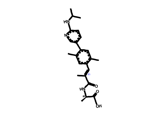 C/C(=C\c1cc(C)c(-c2ccc(NC(C)C)nc2)cc1C)C(=O)N[C@H](C)C(=O)O